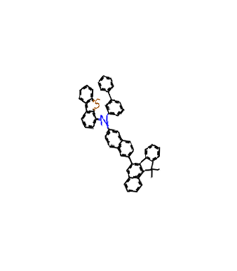 CC1(C)c2ccccc2-c2c(-c3ccc4cc(N(c5cccc(-c6ccccc6)c5)c5cccc6c5sc5ccccc56)ccc4c3)cc3ccccc3c21